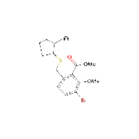 CCCC1CCCC1SCc1ccc(Br)c(OC)c1C(=O)OC